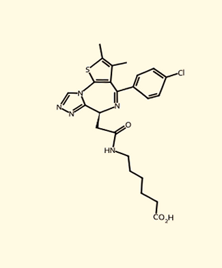 Cc1sc2c(c1C)C(c1ccc(Cl)cc1)=N[C@@H](CC(=O)NCCCCCC(=O)O)c1nncn1-2